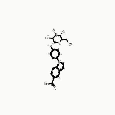 O=C(O)c1ccc2c(ccn2-c2ccc(O[C@H]3OC(CO)[C@@H](O)[C@H](O)C3O)cc2)c1